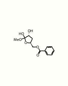 COC1(O)O[C@H](COC(=O)c2ccccc2)C[C@H]1O